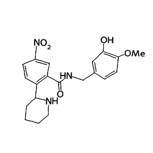 COc1ccc(CNC(=O)c2cc([N+](=O)[O-])ccc2C2CCCCN2)cc1O